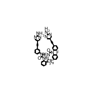 NC(=O)N(c1cccc(C#Cc2cnc(N)nc2)c1)c1cc(C(F)(F)F)ccc1F.Nc1ncc(C#Cc2cccc(NC(=O)Nc3ccccc3C(F)(F)F)c2)cn1